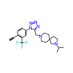 C#Cc1ccc(-n2nnnc2CN2CCC3(CC2)CCN(C(C)C)C3)cc1C(F)(F)F